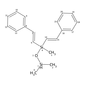 C[SiH](C)O[Si](C)(C=Cc1ccccc1)C=Cc1ccccc1